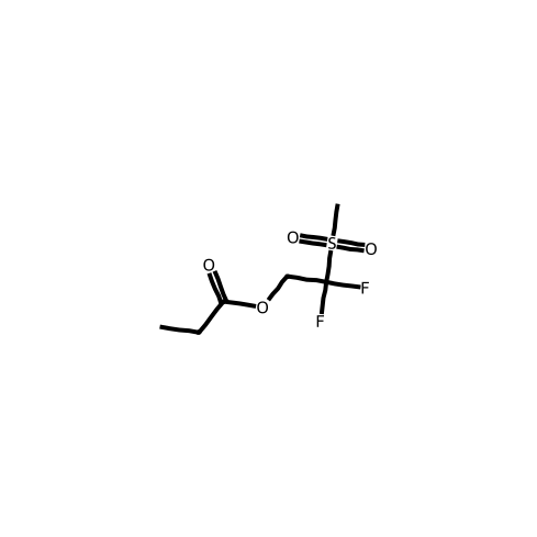 CCC(=O)OCC(F)(F)S(C)(=O)=O